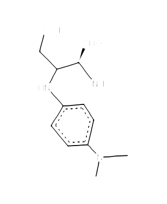 CN(C)c1ccc(NC(CC(=O)O)[C@H](N)C=O)cc1